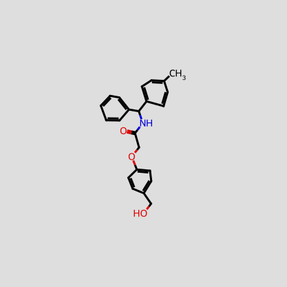 Cc1ccc(C(NC(=O)COc2ccc(CO)cc2)c2ccccc2)cc1